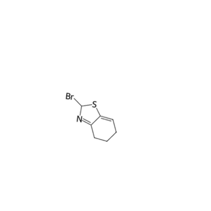 BrC1N=C2CCCC=C2S1